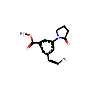 C/C=C\c1cc(C(=O)OC)cc(N2CCCC2=O)c1